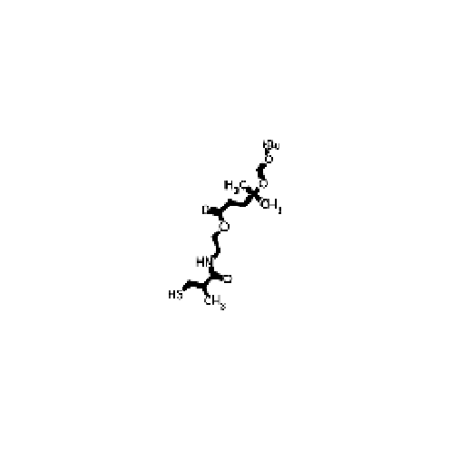 CC(CS)C(=O)NCCOC(=O)CCC(C)(C)OCOC(C)(C)C